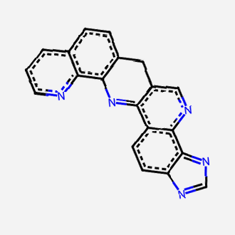 C1=Nc2ccc3c4c(cnc3c2=N1)Cc1ccc2cccnc2c1N=4